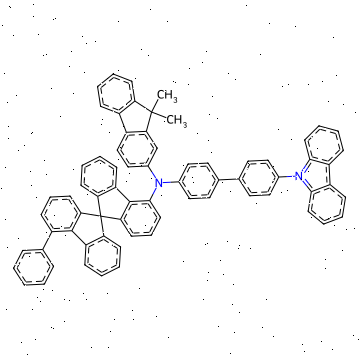 CC1(C)c2ccccc2-c2ccc(N(c3ccc(-c4ccc(-n5c6ccccc6c6ccccc65)cc4)cc3)c3cccc4c3-c3ccccc3C43c4ccccc4-c4c(-c5ccccc5)cccc43)cc21